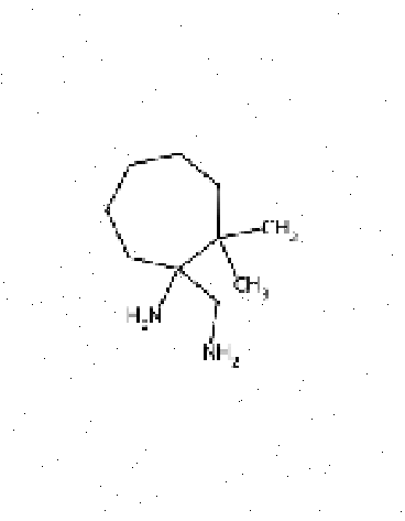 CC1(C)CCCCCC1(N)CN